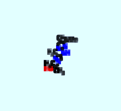 CNc1nc(Nc2cn(CC(C)(C)O)nc2C(F)(F)F)ncc1C(F)(F)F